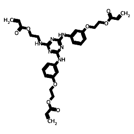 C=CC(=O)OCCNc1nc(Nc2cccc(OCCOC(=O)C=C)c2)nc(Nc2cccc(OCCOC(=O)C=C)c2)n1